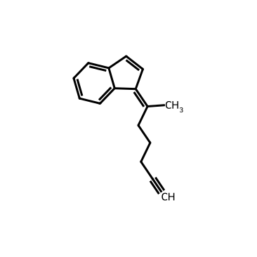 C#CCCCC(C)=C1C=Cc2ccccc21